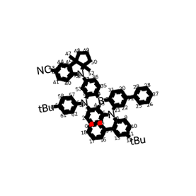 Cc1cc2c3c(c1)N(c1ccc(C(C)(C)C)cc1-c1ccccc1)c1cc(-c4ccccc4)ccc1B3c1ccc(N3c4ccc(C#N)cc4C4(C)CCCC34C)cc1N2c1ccc(C(C)(C)C)cc1